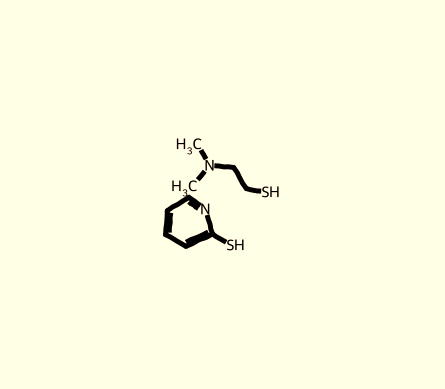 CN(C)CCS.Sc1ccccn1